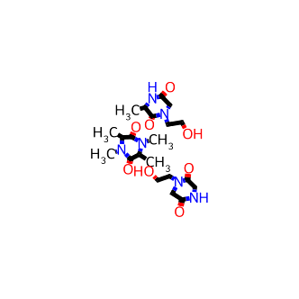 CC1C(=O)N(C)C(C)C(=O)N1C.CC1NC(=O)CN(CCO)C1=O.O=C1CN(CCO)C(=O)CN1